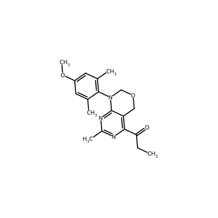 CCC(=O)c1nc(C)nc2c1COCN2c1c(C)cc(OC)cc1C